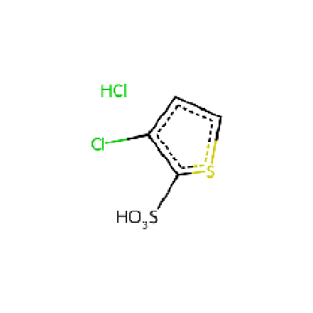 Cl.O=S(=O)(O)c1sccc1Cl